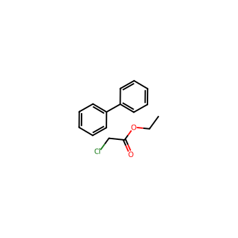 CCOC(=O)CCl.c1ccc(-c2ccccc2)cc1